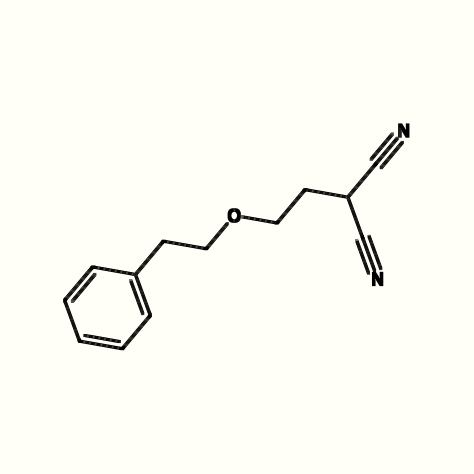 N#CC(C#N)CCOCCc1ccccc1